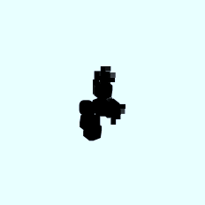 O=C(NCC(c1ccc(C(F)(F)F)nc1)N1CCC(F)(F)CC1)c1ccc2ccccc2n1